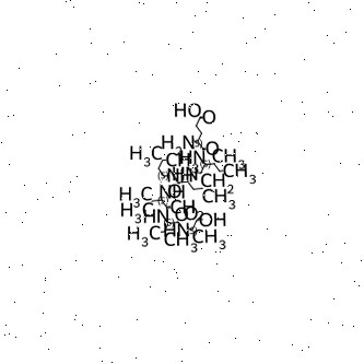 C=C(N[C@H](C(=O)N[C@@H](C)C(=O)O)C(C)C)[C@@H](NC[C@H](CC(C)C)NC(=O)C(CCC)NC(=C)[C@@H](NC(=O)[C@@H](N)CCC(=O)O)C(C)CC)C(C)C